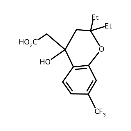 CCC1(CC)CC(O)(CC(=O)O)c2ccc(C(F)(F)F)cc2O1